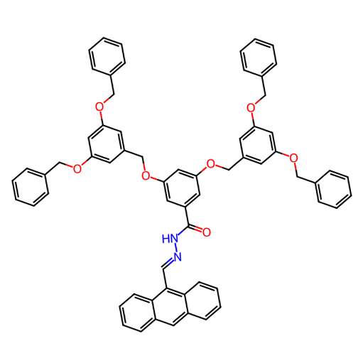 O=C(NN=Cc1c2ccccc2cc2ccccc12)c1cc(OCc2cc(OCc3ccccc3)cc(OCc3ccccc3)c2)cc(OCc2cc(OCc3ccccc3)cc(OCc3ccccc3)c2)c1